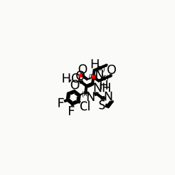 COC(=O)C1=C(CN2[C@@H]3COC[C@H]2C[C@H](CC(=O)O)C3)NC(c2nccs2)=N[C@H]1c1ccc(F)c(F)c1Cl